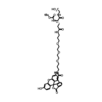 CC(C)(C)OC(=O)N[C@@H](CCC(=O)NCCCOCCOCCOCCCNC(=O)Cc1cccc2c1C1(OC2=O)c2ccc(O)cc2Oc2cc(O)ccc21)C(=O)NCC(=O)O